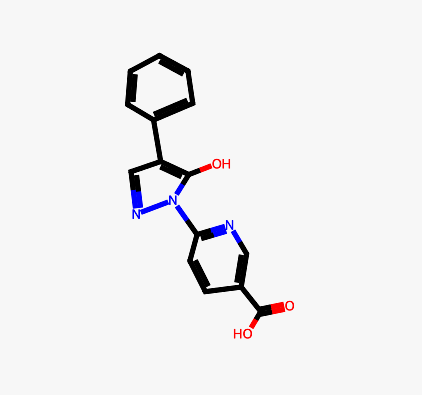 O=C(O)c1ccc(-n2ncc(-c3ccccc3)c2O)nc1